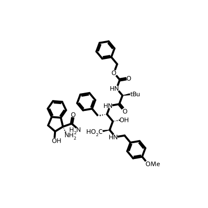 COc1ccc(CN[C@@H](C(=O)O)[C@@H](O)[C@H](Cc2ccccc2)NC(=O)[C@@H](NC(=O)OCc2ccccc2)C(C)(C)C)cc1.NC(=O)[C@]1(N)c2ccccc2CC1O